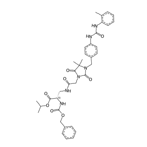 Cc1ccccc1NC(=O)Nc1ccc(CN2C(=O)N(CC(=O)NC[C@H](NC(=O)OCc3ccccc3)C(=O)OC(C)C)C(=O)C2(C)C)cc1